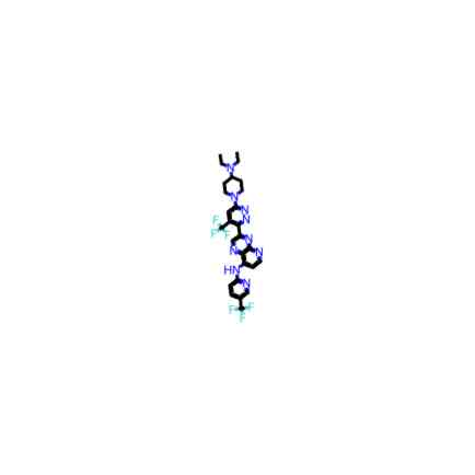 CCN(CC)C1CCN(c2cc(C(F)(F)F)c(-c3cnc4c(Nc5ccc(C(F)(F)F)cn5)ccnc4n3)nn2)CC1